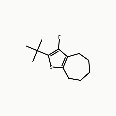 CC(C)(C)c1sc2c(c1F)CCCCC2